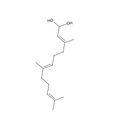 CC(C)=CCCC(C)=CCCC(C)=CC(O)O